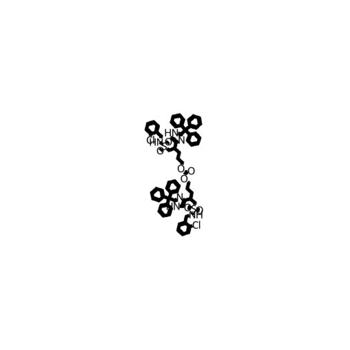 O=C(OCCCC(CS(=O)(=O)NCc1ccccc1Cl)c1c[nH]c(C(c2ccccc2)(c2ccccc2)c2ccccc2)n1)OCCCC(CS(=O)(=O)NCc1ccccc1Cl)c1c[nH]c(C(c2ccccc2)(c2ccccc2)c2ccccc2)n1